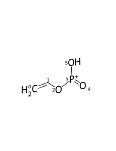 C=CO[P+](=O)O